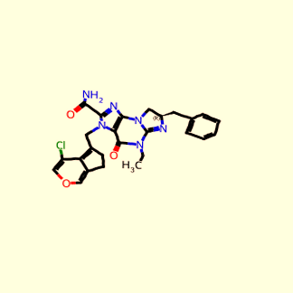 CCN1C(=O)c2c(nc(C(N)=O)n2CC2=C3C(Cl)=COC=C3CC2)N2C[C@@H](Cc3ccccc3)N=C12